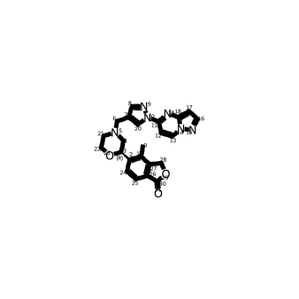 Cc1c([C@@H]2CN(Cc3cnn(-c4ccn5nccc5n4)c3)CCO2)ccc2c1COC2=O